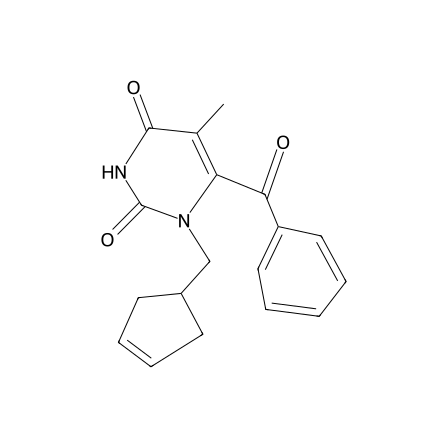 Cc1c(C(=O)c2ccccc2)n(CC2CC=CC2)c(=O)[nH]c1=O